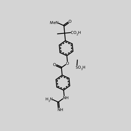 CNC(=O)C(C)(C(=O)O)c1ccc(OC(=O)c2ccc(NC(=N)N)cc2)cc1.CS(=O)(=O)O